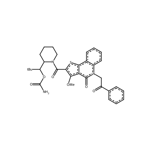 COc1c(C(=O)N2CCCCC2C(OC(N)=O)C(C)(C)C)sc2c1c(=O)n(CC(=O)c1ccccc1)c1ccccc21